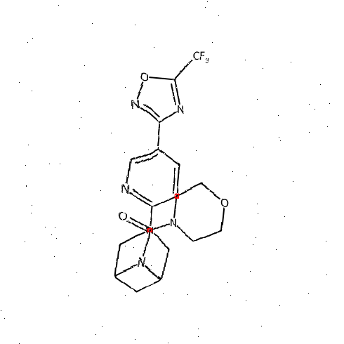 O=C(N1CCOCC1)N1C2CC1CN(c1ccc(-c3noc(C(F)(F)F)n3)cn1)C2